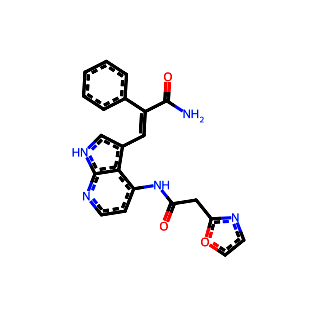 NC(=O)/C(=C/c1c[nH]c2nccc(NC(=O)Cc3ncco3)c12)c1ccccc1